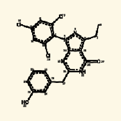 CCc1nn(-c2c(Cl)cc(Cl)cc2Cl)c2nc(Cc3cccc(O)c3)[nH]c(=O)c12